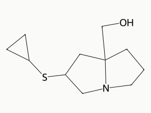 OCC12CCCN1CC(SC1CC1)C2